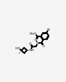 COc1nn(CC(=O)N[C@H]2C[C@](C)(O)C2)c(=O)c2ccc(Br)cc12